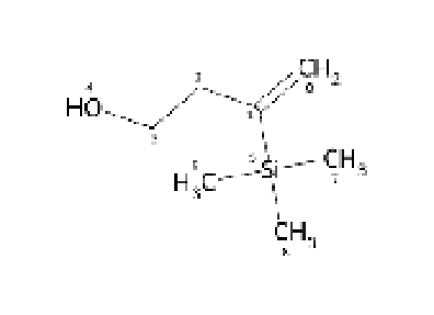 C=C(CCO)[Si](C)(C)C